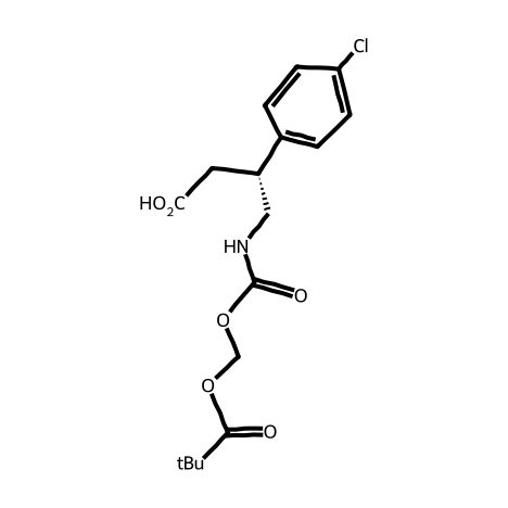 CC(C)(C)C(=O)OCOC(=O)NC[C@H](CC(=O)O)c1ccc(Cl)cc1